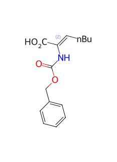 CCCC/C=C(\NC(=O)OCc1ccccc1)C(=O)O